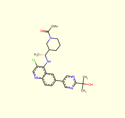 COC(=O)N1CCCC([C@@H](C)Nc2c(Cl)cnc3ccc(-c4cnc(C(C)(C)O)nc4)cc23)C1